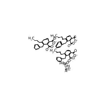 CCCCc1ccc(C(=O)[O-])c(C(=O)[O-])c1Cc1ccccc1.CCCCc1ccc(C(=O)[O-])c(C(=O)[O-])c1Cc1ccccc1.CCCCc1ccc(C(=O)[O-])c(C(=O)[O-])c1Cc1ccccc1.O=[Si](O)O.[Al+3].[Al+3]